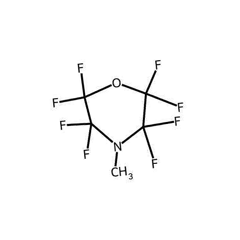 CN1C(F)(F)C(F)(F)OC(F)(F)C1(F)F